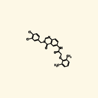 Cc1cccc(C)c1OCC(=O)Nc1ccc2ncn(Cc3ccc(Cl)c(Cl)c3)c(=O)c2c1